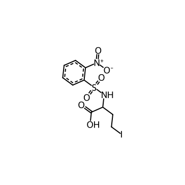 O=C(O)C(CCI)NS(=O)(=O)c1ccccc1[N+](=O)[O-]